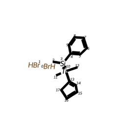 Br.Br.C[Si](c1ccccc1)=[Ti]([CH3])([CH3])[C]1=CC=CC1